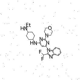 CCNC1CCC(Nc2cc(-n3c(C(F)F)nc4ccccc43)nc(N3CCOCC3)n2)CC1